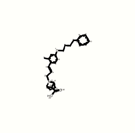 Cc1cc(OCCCCc2ccccc2)ccc1C=CCN1C2CCC1C2C(=O)O